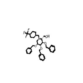 OC[C@@H]1[C@@H](OCc2ccccc2)[C@H](OCc2ccccc2)[C@@H](OCc2ccccc2)CN1CC1CCC(C(F)(F)F)CC1